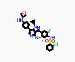 Nc1ncc(-c2ccc(NC3COC3)cc2)c2c1c(-c1ccc(NS(=O)(=O)c3ccccc3Cl)c(F)c1)nn2C1CC1